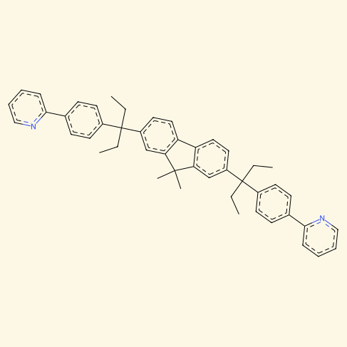 CCC(CC)(c1ccc(-c2ccccn2)cc1)c1ccc2c(c1)C(C)(C)c1cc(C(CC)(CC)c3ccc(-c4ccccn4)cc3)ccc1-2